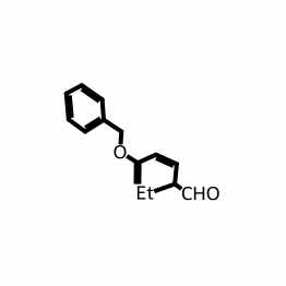 C=C(/C=C\C(C=O)CC)OCc1ccccc1